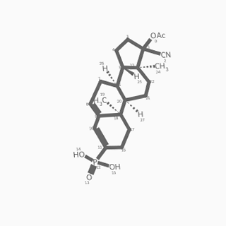 CC(=O)OC1(C#N)CC[C@H]2[C@@H]3CC=C4C=C(P(=O)(O)O)CC[C@]4(C)[C@@H]3CC[C@@]21C